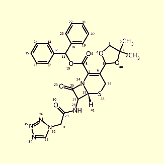 CC1(C)COC(C2=C(C(=O)OC(c3ccccc3)c3ccccc3)N3C(=O)C(NC(=O)Cn4cnnn4)[C@H]3SC2)O1